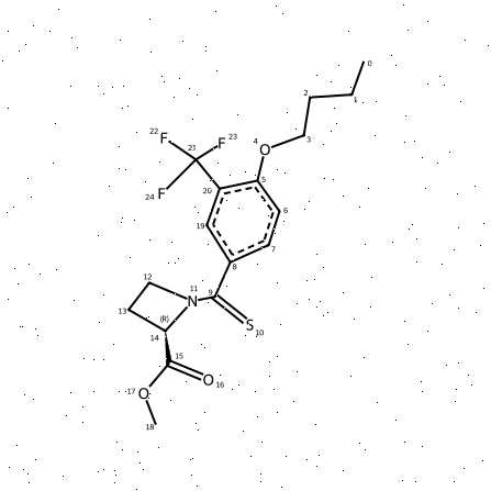 CCCCOc1ccc(C(=S)N2CC[C@@H]2C(=O)OC)cc1C(F)(F)F